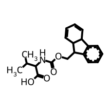 CC(C)C(NC(=O)OCC1c2ccccc2C2C=CC=CC21)C(=O)O